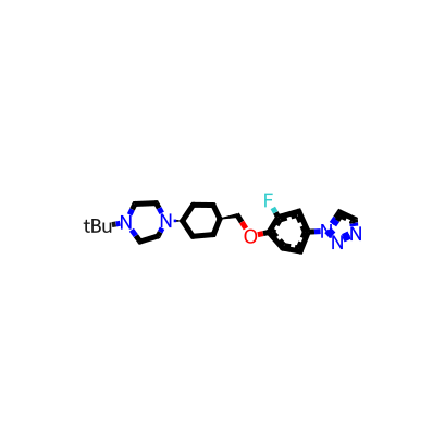 CC(C)(C)N1CCN([C@H]2CC[C@H](COc3ccc(-n4ccnn4)cc3F)CC2)CC1